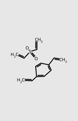 C=CS(=O)(=O)C=C.C=Cc1ccc(C=C)cc1